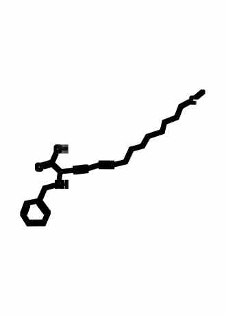 CCCCCCCCCCC#CC#CC(NCc1ccccc1)C(=O)O